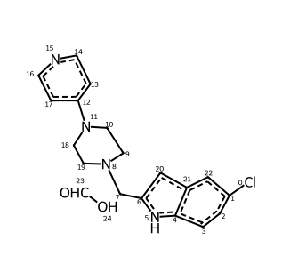 Clc1ccc2[nH]c(CN3CCN(c4ccncc4)CC3)cc2c1.O=CO